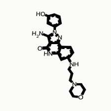 Nc1c2c(=O)[nH]c3cc(NCCCN4CCOCC4)ccc3c2nn1-c1cccc(O)c1